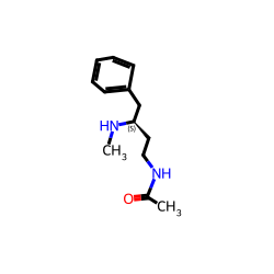 CN[C@H](CCNC(C)=O)Cc1ccccc1